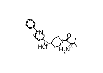 CC(C)[C@H](N)C(=O)N1CCC(Oc2cnc(-c3ccccc3)nc2)CC1.Cl